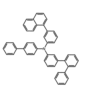 c1ccc(-c2ccc(N(c3cccc(-c4ccccc4-c4ccccc4)c3)c3cccc(-c4cccc5ccccc45)c3)cc2)cc1